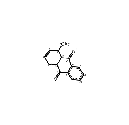 CC(=O)OC1C=CCC2C(=O)c3ccccc3C(=O)C12